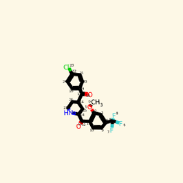 COc1cc(C(F)(F)F)ccc1C(=O)C1CC(C(=O)c2ccc(Cl)cc2)CCN1